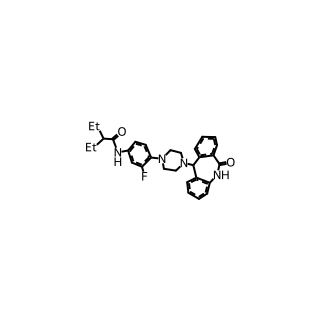 CCC(CC)C(=O)Nc1ccc(N2CCN(C3c4ccccc4NC(=O)c4ccccc43)CC2)c(F)c1